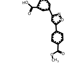 COC(=O)c1ccc(-c2cc(-c3cccc(C(=O)O)c3)no2)cc1